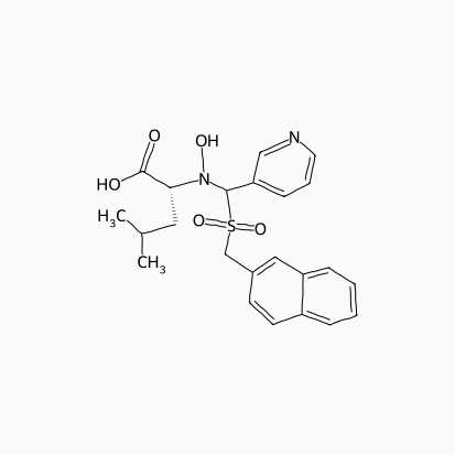 CC(C)C[C@H](C(=O)O)N(O)C(c1cccnc1)S(=O)(=O)Cc1ccc2ccccc2c1